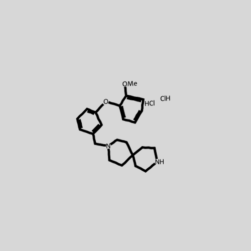 COc1ccccc1Oc1cccc(CN2CCC3(CCNCC3)CC2)c1.Cl.Cl